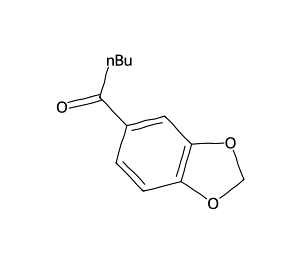 CCCCC(=O)c1ccc2c(c1)OCO2